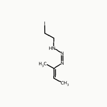 C/C=C(C)\N=N/NCCI